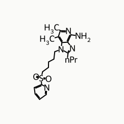 CCCc1nc2c(N)nc(C)c(C)c2n1CCCCCS(=O)(=O)c1ccccn1